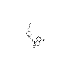 CCCCC1CCN(CCCN2C(=O)COc3c(F)cccc32)CC1